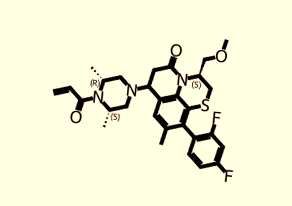 C=CC(=O)N1[C@H](C)CN(C2CC(=O)N3c4c2cc(C)c(-c2ccc(F)cc2F)c4SC[C@@H]3COC)C[C@@H]1C